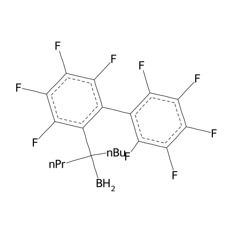 BC(CCC)(CCCC)c1c(F)c(F)c(F)c(F)c1-c1c(F)c(F)c(F)c(F)c1F